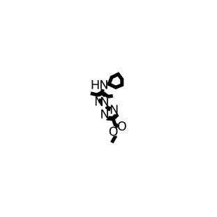 CCOC(=O)c1cnc(-n2nc(C)c(NC3CCCCC3)c2C)nc1